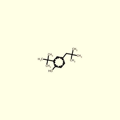 CC(C)(C)Cc1ccc(O)c(C(C)(C)C)c1